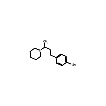 CC(CCc1ccc(C(C)(C)C)cc1)N1CCCCC1